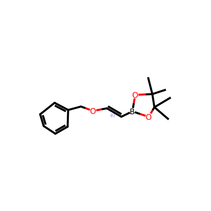 CC1(C)OB(/C=C/OCc2ccccc2)OC1(C)C